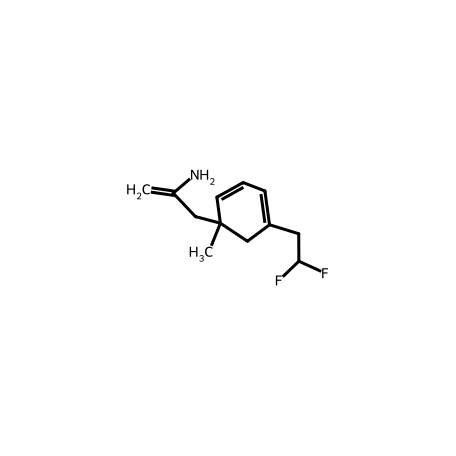 C=C(N)CC1(C)C=CC=C(CC(F)F)C1